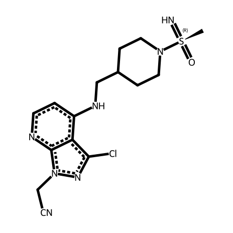 C[S@@](=N)(=O)N1CCC(CNc2ccnc3c2c(Cl)nn3CC#N)CC1